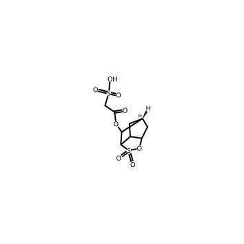 O=C(CS(=O)(=O)O)OC1C2C3C[C@@H]1CC3OS2(=O)=O